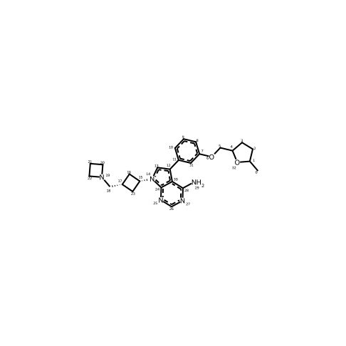 CC1CCC(COc2cccc(-c3cn([C@H]4C[C@@H](CN5CCC5)C4)c4ncnc(N)c34)c2)O1